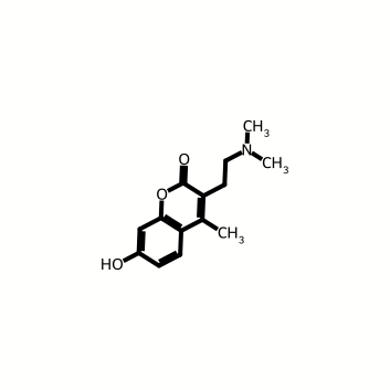 Cc1c(CCN(C)C)c(=O)oc2cc(O)ccc12